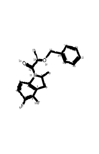 CC1Cc2c(ccc(F)c2F)N1C(=O)[C@@H](C)OCc1ccccc1